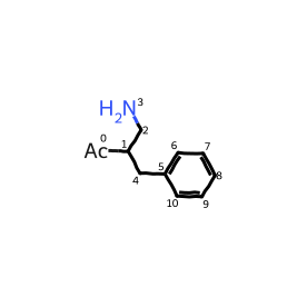 CC(=O)C(CN)Cc1ccccc1